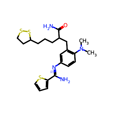 CN(C)c1ccc(/N=C(\N)c2cccs2)cc1CC(CCCC1CCSS1)C(N)=O